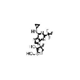 OC[C@H]1OC[C@@](F)(n2cnc3c(NC4CC4)nc(C(F)(F)F)nc32)[C@@H]1O